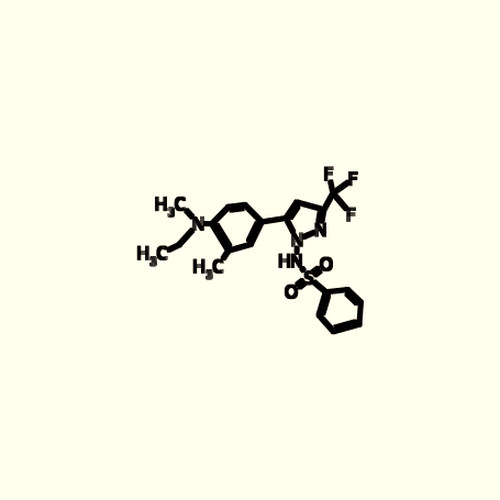 CCN(C)c1ccc(-c2cc(C(F)(F)F)nn2NS(=O)(=O)c2ccccc2)cc1C